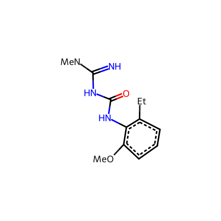 CCc1cccc(OC)c1NC(=O)NC(=N)NC